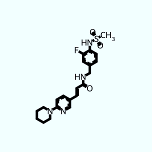 CS(=O)(=O)Nc1ccc(CNC(=O)/C=C/c2ccc(N3CCCCC3)nc2)cc1F